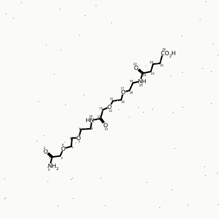 NC(=O)COCCOCCNC(=O)COCCOCCNC(=O)CCCC(=O)O